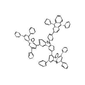 c1ccc(-c2cc(-c3ccccc3)c3oc4c(-c5ccc6c(c5)c5cc(-c7cc(-c8ccccc8)cc8c7oc7c(-c9ccccc9)cc(-c9ccccc9)cc78)ccc5n6-c5ccc(-c6ccc7c(-c8ccccc8)c8ccccc8c(-c8ccccc8)c7c6)cc5)cc(-c5ccccc5)cc4c3c2)cc1